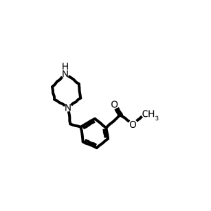 COC(=O)c1cccc(CN2CCNCC2)c1